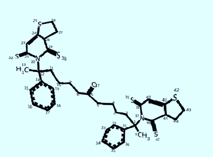 CC(CCCCC(=O)CCCCC(C)(c1ccccc1)N1C(=S)C=C2SCCC2C1=S)(c1ccccc1)N1C(=S)C=C2SCCC2C1=S